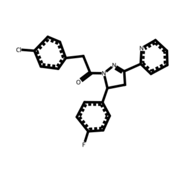 O=C(Cc1ccc(Cl)cc1)N1N=C(c2ccccn2)CC1c1ccc(F)cc1